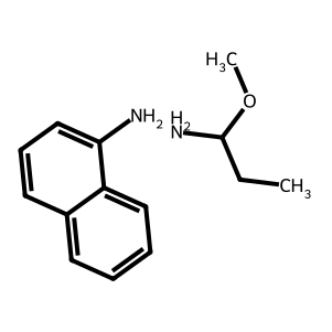 CCC(N)OC.Nc1cccc2ccccc12